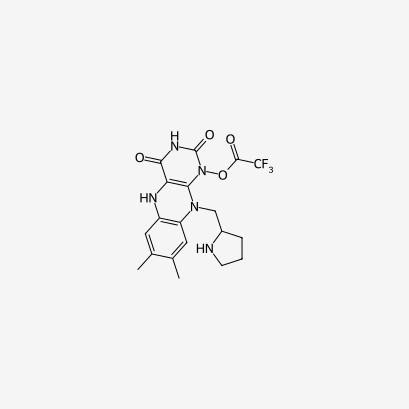 Cc1cc2c(cc1C)N(CC1CCCN1)c1c(c(=O)[nH]c(=O)n1OC(=O)C(F)(F)F)N2